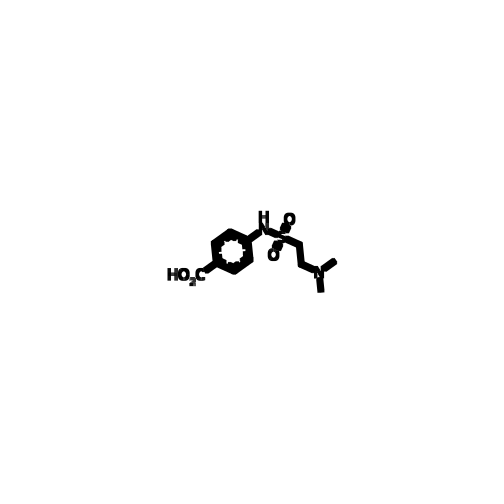 CN(C)CCS(=O)(=O)Nc1ccc(C(=O)O)cc1